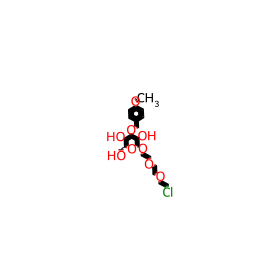 COc1ccc(CO[C@H]2[C@@H](O)[C@@H](CO)O[C@@H](OCCOCCOCCCl)[C@@H]2O)cc1